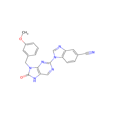 COc1cccc(Cn2c(=O)[nH]c3cnc(-n4cnc5cc(C#N)ccc54)nc32)c1